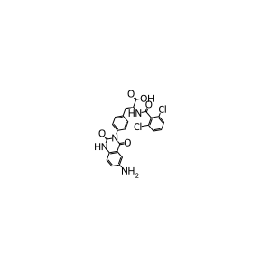 Nc1ccc2[nH]c(=O)n(-c3ccc(C[C@H](NC(=O)c4c(Cl)cccc4Cl)C(=O)O)cc3)c(=O)c2c1